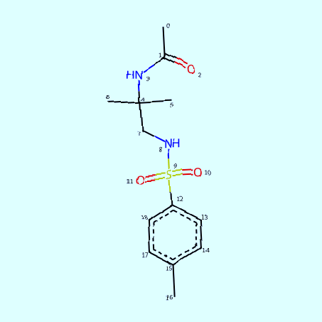 CC(=O)NC(C)(C)CNS(=O)(=O)c1ccc(C)cc1